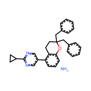 N.c1ccc(CC2(Cc3ccccc3)CCc3c(cccc3-c3cnc(C4CC4)nc3)O2)cc1